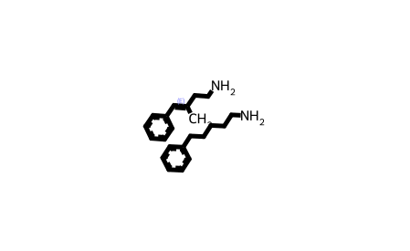 C/C(=C\c1ccccc1)CCN.NCCCCCc1ccccc1